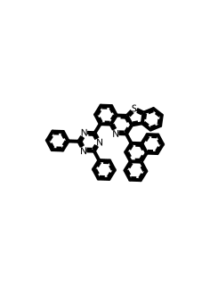 c1ccc(-c2nc(-c3ccccc3)nc(-c3cccc4c3nc(-c3cc5ccccc5c5ccccc35)c3c5ccccc5sc43)n2)cc1